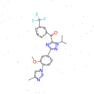 COc1cc(-c2nc(C(=O)c3cccc(C(F)(F)F)c3)n(C(C)C)n2)ccc1-n1cnc(C)c1